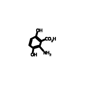 Nc1c(O)ccc(O)c1C(=O)O